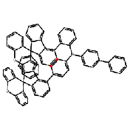 c1ccc(-c2ccc(N(c3ccc(-c4cccc5c4-c4ccccc4C54c5ccccc5Oc5ccccc54)cc3)c3ccccc3-c3cccc4c3-c3ccccc3C43c4ccccc4Oc4ccccc43)cc2)cc1